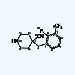 N#CC1(Cc2cccc(C(F)(F)F)c2F)CCNCC1